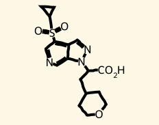 O=C(O)C(CC1CCOCC1)n1ncc2c(S(=O)(=O)C3CC3)cncc21